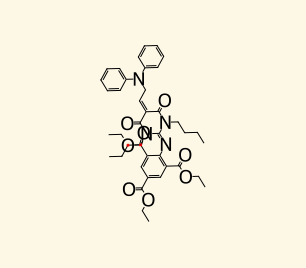 CCCCN1C(=O)C(=CCN(c2ccccc2)c2ccccc2)C(=O)N(CCCC)C1=Nc1c(C(=O)OCC)cc(C(=O)OCC)cc1C(=O)OCC